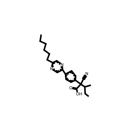 CCCCCCc1cnc(-c2ccc(C(C#N)(C(=O)O)C(C)CC)cc2)cn1